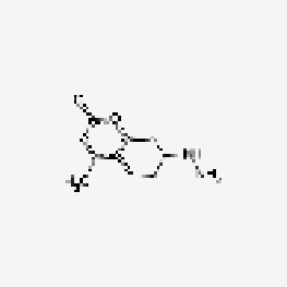 Cc1cc(=O)oc2c1=CCC(NN)C=2